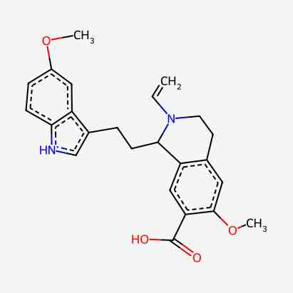 C=CN1CCc2cc(OC)c(C(=O)O)cc2C1CCc1c[nH]c2ccc(OC)cc12